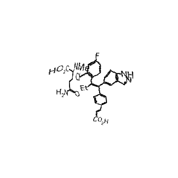 CCC(=C(c1ccc(C=CC(=O)O)cc1)c1ccc2[nH]ncc2c1)c1ccc(F)cc1Cl.CNC(CCC(N)=O)C(=O)O